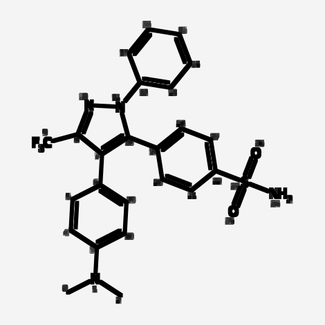 CN(C)c1ccc(-c2c(C(F)(F)F)nn(-c3ccccc3)c2-c2ccc(S(N)(=O)=O)cc2)cc1